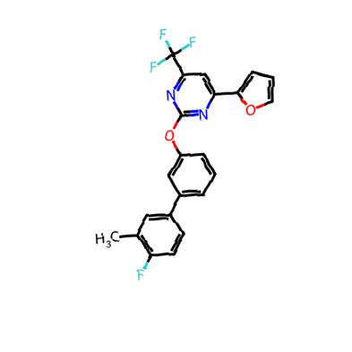 Cc1cc(-c2cccc(Oc3nc(-c4ccco4)cc(C(F)(F)F)n3)c2)ccc1F